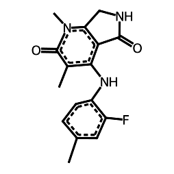 Cc1ccc(Nc2c3c(n(C)c(=O)c2C)CNC3=O)c(F)c1